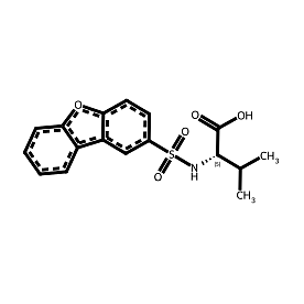 CC(C)[C@H](NS(=O)(=O)c1ccc2oc3ccccc3c2c1)C(=O)O